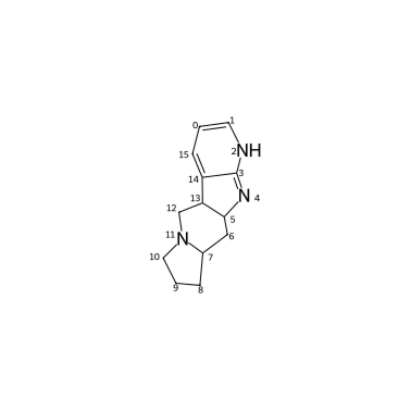 C1=CNC2=NC3CC4CCCN4CC3C2=C1